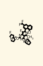 Cc1nc(-c2cc(C(F)F)cc3cccc(Cl)c23)c(F)c2nc(OC[C@@]34CCCN3C[C@H](F)C4)nc(N3CC4CCC(C3)N4)c12